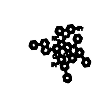 CC(C)c1ccc2c(c1)CN(c1c(C#N)c3cc(N4C=CC=C5C(c6ccccc6)=CC=CC54)c4oc5c(C(C)C)cccc5c4c3c3c1cc(N(c1ccccc1)c1ccc(-c4ccccc4)cc1)c1c4cccc(-c5cccc(-c6ccccc6)c5)c4oc13)c1ccccc1-2